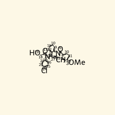 COc1ccc(C(=O)N2c3ccccc3[C@H](N(C(=O)CO)c3ccc(Cl)cc3)C[C@@H]2C)cc1